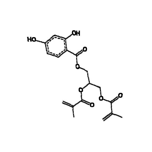 C=C(C)C(=O)OCC(COC(=O)c1ccc(O)cc1O)OC(=O)C(=C)C